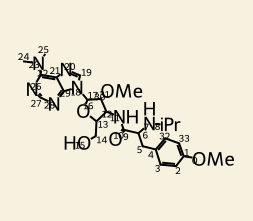 COc1ccc(CC(NC(C)C)C(=O)NC2C(CO)OC(n3cnc4c(N(C)C)ncnc43)C2OC)cc1